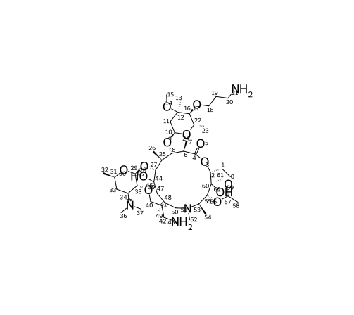 CC[C@H]1OC(=O)[C@H](C)[C@@H](O[C@H]2C[C@@](C)(OC)[C@@H](OCCCN)[C@H](C)O2)[C@H](C)[C@@H](O[C@@H]2O[C@H](C)C[C@H](N(C)C)[C@H]2OCCCN)[C@](C)(O)C[C@@H](C)CN(C)[C@H](C)[C@@H](OC(C)=O)[C@]1(C)O